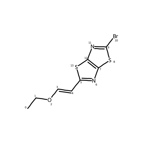 CCOC=Cc1nc2sc(Br)nc2s1